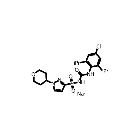 CC(C)c1cc(Cl)cc(C(C)C)c1NC(=O)NS(=O)(=O)c1ccn(C2CCOCC2)n1.[Na]